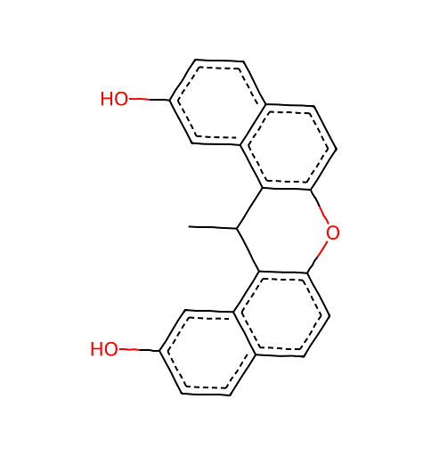 CC1c2c(ccc3ccc(O)cc23)Oc2ccc3ccc(O)cc3c21